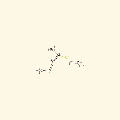 C=CSC(=C=CC)C(C)(C)C